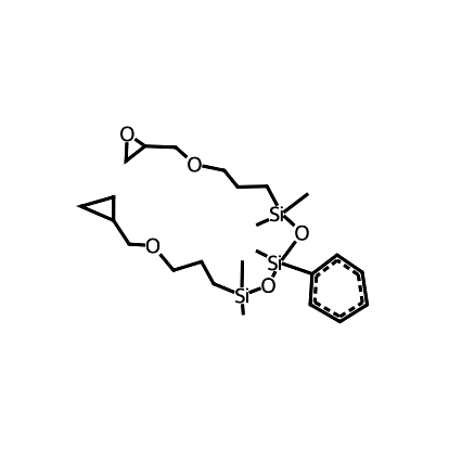 C[Si](C)(CCCOCC1CC1)O[Si](C)(O[Si](C)(C)CCCOCC1CO1)c1ccccc1